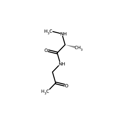 CN[C@H](C)C(=O)NCC(C)=O